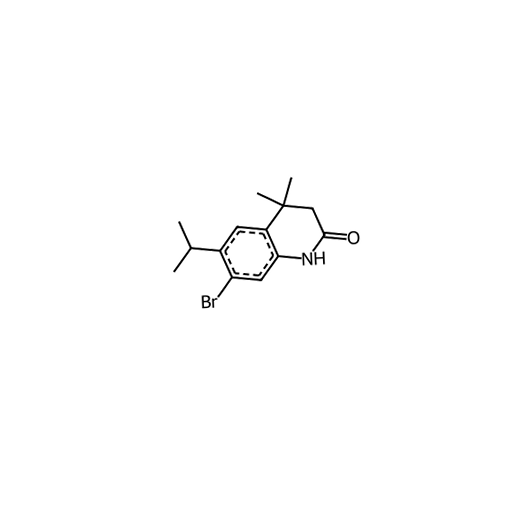 CC(C)c1cc2c(cc1Br)NC(=O)CC2(C)C